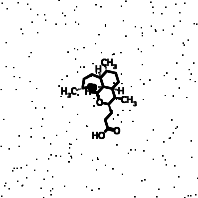 C[C@H]1[C@@H](CCC(=O)O)O[C@@H]2O[C@]3(C)CC[C@H]4[C@H](C)CC[C@@H]1[C@@]24OO3